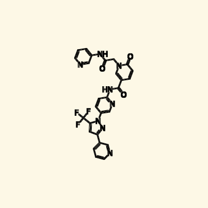 O=C(Cn1cc(C(=O)Nc2ccc(-n3nc(-c4cccnc4)cc3C(F)(F)F)cn2)ccc1=O)Nc1cccnc1